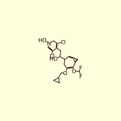 OC(CC1=C(Cl)CN(O)C=C1Cl)C1C=C2C=C2C(OC(F)F)=C(OCC2CC2)C1